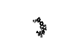 CN(C)C(C(=O)Nc1ccc(-c2cncc(C(F)(F)F)n2)cc1F)c1csc(NS(=O)(=O)C2CC2)n1